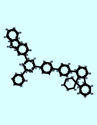 c1ccc(-c2nc(-c3ccc(-c4ccc(-c5cccc6c5C5(CCCCC5)c5ccccc5-6)cc4)cc3)nc(-c3ccc4c(c3)oc3ccccc34)n2)cc1